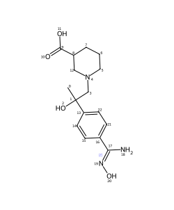 CC(O)(CN1CCCC(C(=O)O)C1)c1ccc(/C(N)=N/O)cc1